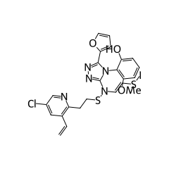 C=Cc1cc(Cl)cnc1CCSN(/C=C/SI)c1nnc(-c2ccco2)n1-c1c(O)cccc1OC